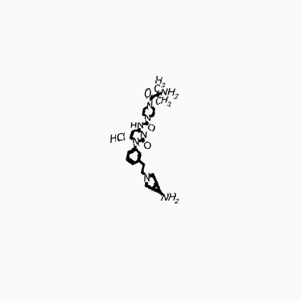 CC(C)(N)C(=O)N1CCN(C(=O)Nc2ccn(-c3cccc(CCN4CC5C(N)C5C4)c3)c(=O)n2)CC1.Cl